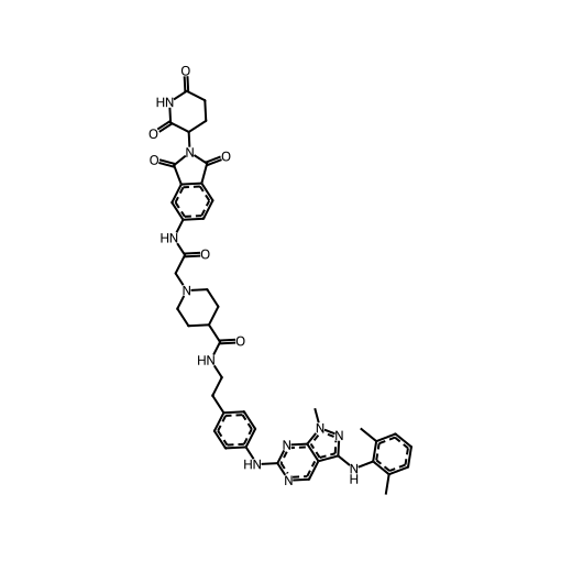 Cc1cccc(C)c1Nc1nn(C)c2nc(Nc3ccc(CCNC(=O)C4CCN(CC(=O)Nc5ccc6c(c5)C(=O)N(C5CCC(=O)NC5=O)C6=O)CC4)cc3)ncc12